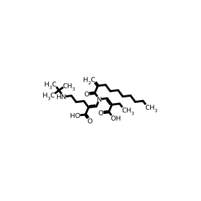 C=C(CCCCCCCC)C(=O)N(C=C(CC)C(=O)O)C=C(CCCNC(C)(C)C)C(=O)O